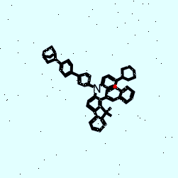 CC1(C)c2ccccc2-c2ccc(N(c3ccc(-c4ccc(C5CC6CCC5C6)cc4)cc3)c3ccc(C4CCCCC4)cc3)c(-c3ccc4ccccc4c3)c21